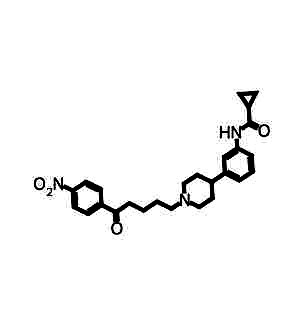 O=C(CCCCN1CCC(c2cccc(NC(=O)C3CC3)c2)CC1)c1ccc([N+](=O)[O-])cc1